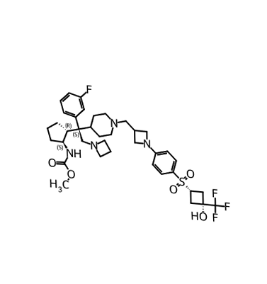 COC(=O)N[C@H]1CCC[C@@H]1[C@](CN1CCC1)(c1cccc(F)c1)C1CCN(CC2CN(c3ccc(S(=O)(=O)[C@H]4C[C@](O)(C(F)(F)F)C4)cc3)C2)CC1